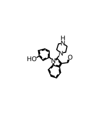 O=Cc1c(N2CCNCC2)n(-c2cccc(O)c2)c2ccccc12